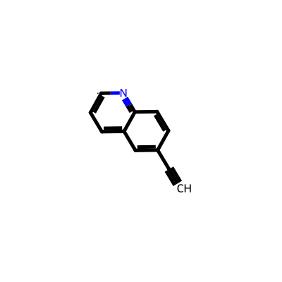 C#Cc1ccc2n[c]ccc2c1